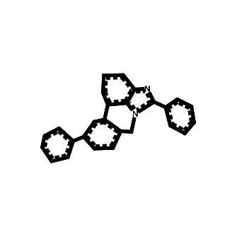 c1ccc(-c2ccc3c(c2)-c2cccc4nc(-c5ccccc5)n(c24)C3)cc1